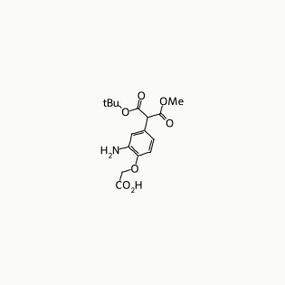 COC(=O)C(C(=O)OC(C)(C)C)c1ccc(OCC(=O)O)c(N)c1